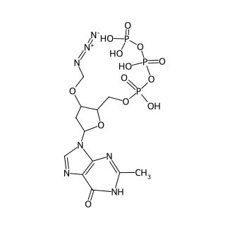 Cc1nc2c(ncn2C2CC(OCN=[N+]=[N-])C(COP(=O)(O)OP(=O)(O)OP(=O)(O)O)O2)c(=O)[nH]1